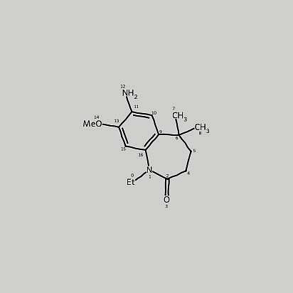 CCN1C(=O)CCC(C)(C)c2cc(N)c(OC)cc21